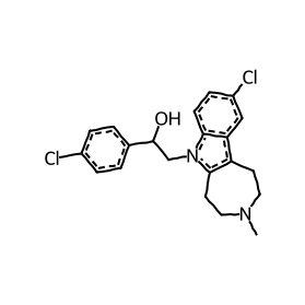 CN1CCc2c(n(CC(O)c3ccc(Cl)cc3)c3ccc(Cl)cc23)CC1